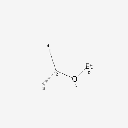 CCO[C@H](C)I